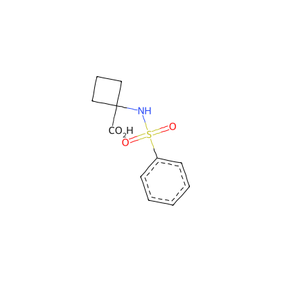 O=C(O)C1(NS(=O)(=O)c2ccccc2)CCC1